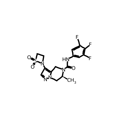 C[C@H]1Cn2ncc(N3CCS3(=O)=O)c2CN1C(=O)Nc1cc(F)c(F)c(F)c1